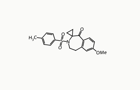 COc1ccc2c(c1)CCN(S(=O)(=O)c1ccc(C)cc1)C1(CC1)C2=O